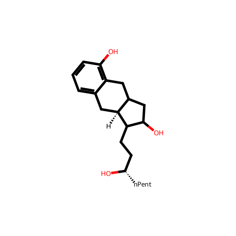 CCCCC[C@H](O)CCC1C(O)CC2Cc3c(O)cccc3C[C@@H]21